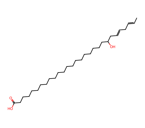 CC=CCC=CCC(O)CCCCCCCCCCCCCCCCCCCCC(=O)O